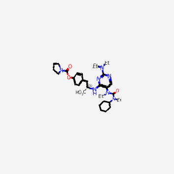 CCN(CC)c1ncc(N(CC)C(=O)N(CC)C2CCCCC2)c(N[C@@H](Cc2ccc(OC(=O)N3CCCC3)cc2)C(=O)O)n1